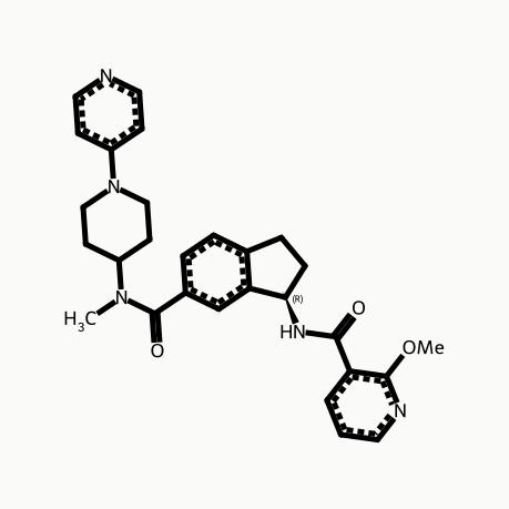 COc1ncccc1C(=O)N[C@@H]1CCc2ccc(C(=O)N(C)C3CCN(c4ccncc4)CC3)cc21